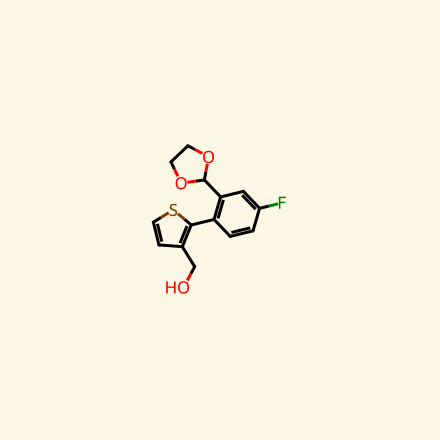 OCc1ccsc1-c1ccc(F)cc1C1OCCO1